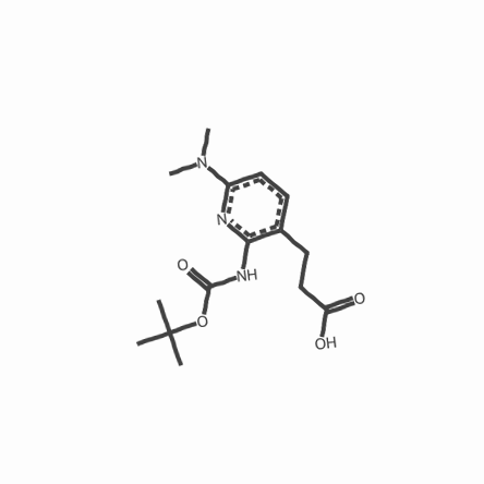 CN(C)c1ccc(CCC(=O)O)c(NC(=O)OC(C)(C)C)n1